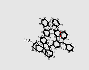 C[C@@H]1CC2C[C@@H](C1)C[C@@H](C)C21c2ccccc2N(c2ccc(N(c3ccccc3)c3ccccc3)c(-c3cccc([Si](c4ccccc4)(c4ccccc4)c4ccccc4)c3)c2)c2ccccc21